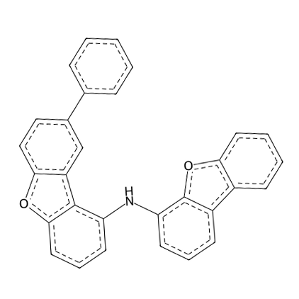 c1ccc(-c2ccc3oc4cccc(Nc5cccc6c5oc5ccccc56)c4c3c2)cc1